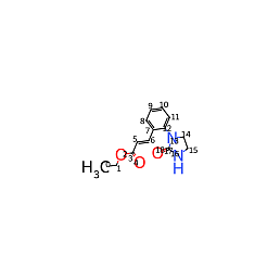 CCOC(=O)/C=C/c1ccccc1N1CCNC1=O